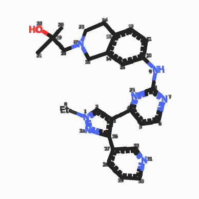 CCn1cc(-c2ccnc(Nc3ccc4c(c3)CN(CC(C)(C)O)CC4)n2)c(-c2cccnc2)n1